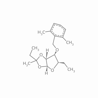 CC[C@H]1O[C@@H]2OC(C)(CC)O[C@@H]2[C@H]1OCc1c(C)cccc1C